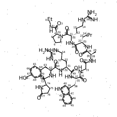 CCNC(=O)[C@@H]1CCCN1C(=O)[C@H](CCCNC(=N)N)NC(=O)[C@H](CC(C)C)NC(=O)[C@@H](C)NC(=O)CNC(=O)[C@H](Cc1c[nH]c2ccccc12)NC(=O)[C@H](CCCNC(=N)N)NC(=O)[C@H](Cc1ccc(O)cc1)NC(=O)C1CCC(=O)N1